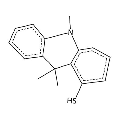 CN1c2ccccc2C(C)(C)c2c(S)cccc21